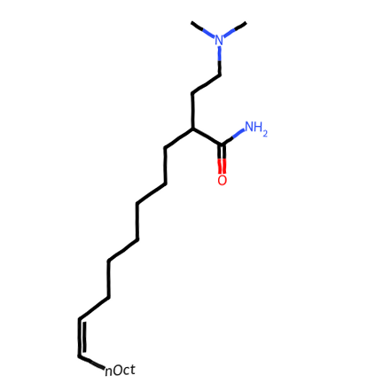 CCCCCCCC/C=C\CCCCCCC(CCN(C)C)C(N)=O